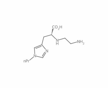 CCCn1cnc(C[C@H](NCCN)C(=O)O)c1